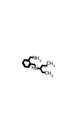 CCCC(CC)NCc1ccccc1CN